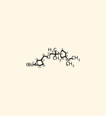 CN(C)C1CCN(C(C)(C)COCC2CCN(C(C)(C)C)C2)C1